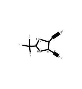 N#CC1NC(C(F)(F)F)NC1C#N